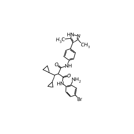 Cc1n[nH]c(C)c1-c1ccc(NC(=O)C(C(=O)Nc2ccc(Br)cc2N)C(C2CC2)C2CC2)cc1